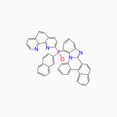 O=P(c1ccc2ccccc2c1)(c1ccc2ccc3cccnc3c2n1)c1cccc2nc3c4ccc5ccccc5c4c4ccccc4n3c12